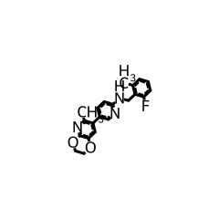 Cc1cccc(F)c1CNc1ccc(-c2cc3c(nc2C)OCCO3)cn1